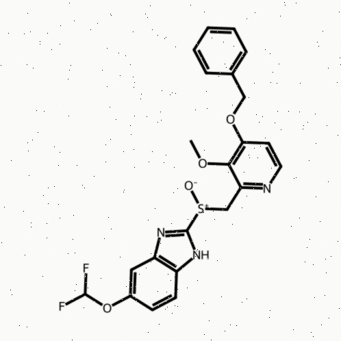 COc1c(OCc2ccccc2)ccnc1C[S+]([O-])c1nc2cc(OC(F)F)ccc2[nH]1